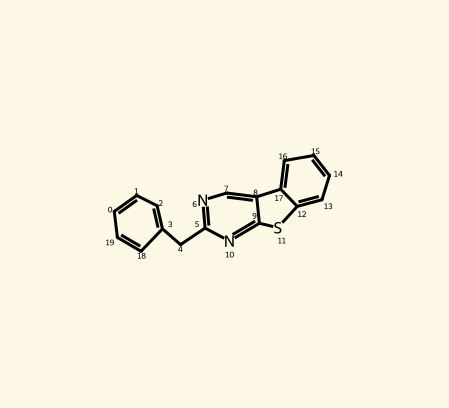 c1ccc(Cc2ncc3c(n2)sc2ccccc23)cc1